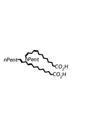 CCCCC/C=C\C/C=C\CCCCCCCC(=O)O.CCCCCC=CCC=CCCCCCCCC(=O)O